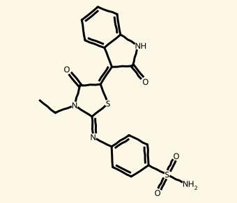 CCN1C(=O)/C(=C2/C(=O)Nc3ccccc32)S/C1=N\c1ccc(S(N)(=O)=O)cc1